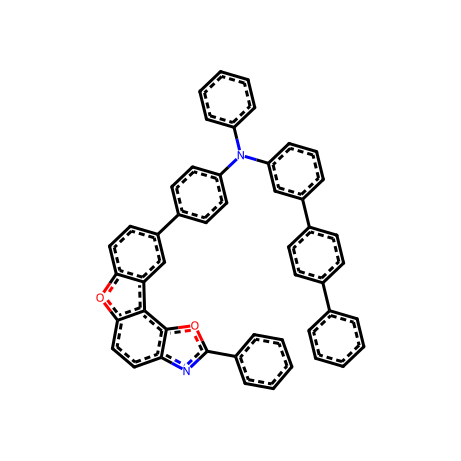 c1ccc(-c2ccc(-c3cccc(N(c4ccccc4)c4ccc(-c5ccc6oc7ccc8nc(-c9ccccc9)oc8c7c6c5)cc4)c3)cc2)cc1